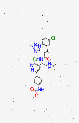 COC(=O)Nc1ccc(-c2cc(C(CNC(C)C)NC(=O)C=Cc3cc(Cl)ccc3-n3cnnn3)c(Cl)nn2)cc1